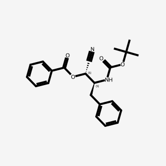 CC(C)(C)OC(=O)N[C@@H](Cc1ccccc1)[C@@H](C#N)OC(=O)c1ccccc1